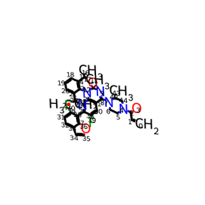 C=CC(=O)N1CCN(c2nc(=O)n(-c3c(C(C)C)cccc3C(C)C)c3nc(-c4c(F)ccc5ccoc45)c(F)cc23)[C@@H](C)C1